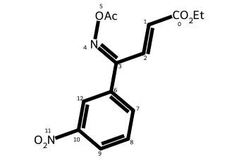 CCOC(=O)C=CC(=NOC(C)=O)c1cccc([N+](=O)[O-])c1